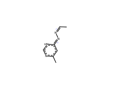 C/C=N\N=c1\cc(C)nc[nH]1